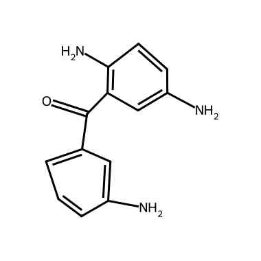 Nc1cccc(C(=O)c2cc(N)ccc2N)c1